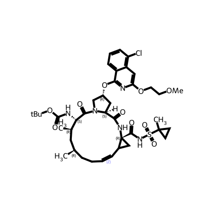 COCCOc1cc2c(Cl)cccc2c(O[C@@H]2C[C@H]3C(=O)N[C@]4(C(=O)NS(=O)(=O)C5(C)CC5)CC4/C=C\CC[C@@H](C)C[C@@H](C)[C@H](NC(=O)OC(C)(C)C)C(=O)N3C2)n1